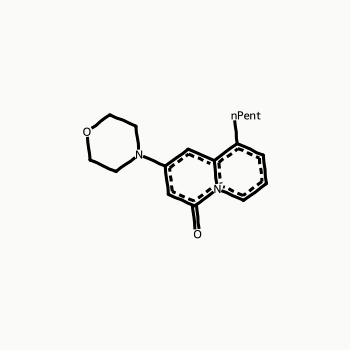 CCCCCc1cccn2c(=O)cc(N3CCOCC3)cc12